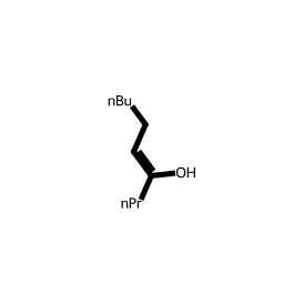 CCCCCC=C(O)CCC